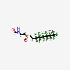 O=CNCC[S+]([O-])CCC(F)(F)C(F)(F)C(F)(F)C(F)(F)C(F)(F)C(F)(F)F